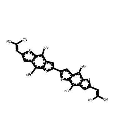 CCCc1c2cc(-c3cc4c(CCC)c5sc(C=C(C#N)C#N)cc5c(CCC)c4s3)sc2c(CCC)c2cc(C=C(C#N)C#N)sc12